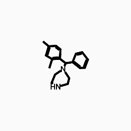 Cc1ccc(C(c2ccccc2)N2CCNCC2)c(C)c1